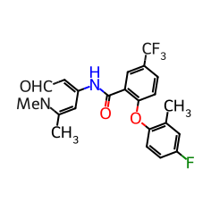 CN/C(C)=C\C(=C/C=O)NC(=O)c1cc(C(F)(F)F)ccc1Oc1ccc(F)cc1C